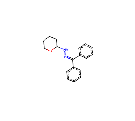 c1ccc(C(=NNC2CCCCO2)c2ccccc2)cc1